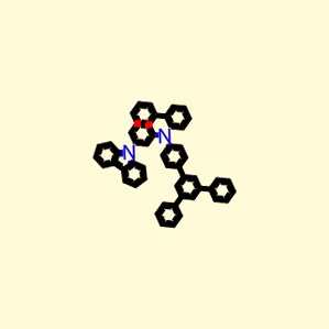 c1ccc(-c2cc(-c3ccccc3)cc(-c3ccc(N(c4cccc(-n5c6ccccc6c6ccccc65)c4)c4ccccc4-c4ccccc4)cc3)c2)cc1